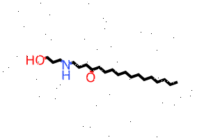 CCCCCCCCCCCCCC(=O)CCCNCCCO